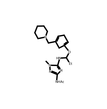 CCC(Nc1nc(NC(C)=O)nn1C)OC1=CCC=C(CN2CCCCC2)C1